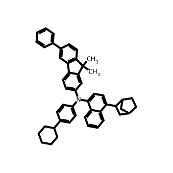 CC1(C)c2ccc(-c3ccccc3)cc2-c2ccc(N(c3ccc(C4CCCCC4)cc3)c3ccc(C4CC5CCC4C5)c4ccccc34)cc21